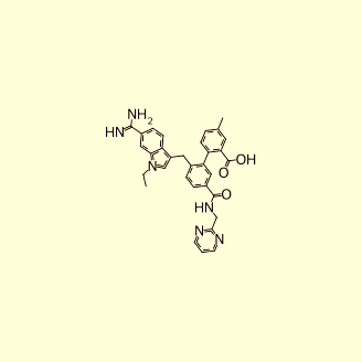 CCn1cc(Cc2ccc(C(=O)NCc3ncccn3)cc2-c2ccc(C)cc2C(=O)O)c2ccc(C(=N)N)cc21